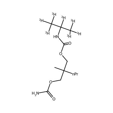 [2H]C([2H])([2H])C([2H])(NC(=O)OCC(C)(CCC)COC(N)=O)C([2H])([2H])[2H]